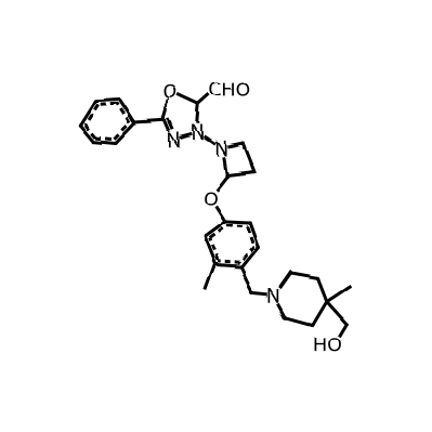 Cc1cc(OC2CCN2N2N=C(c3ccccc3)OC2C=O)ccc1CN1CCC(C)(CO)CC1